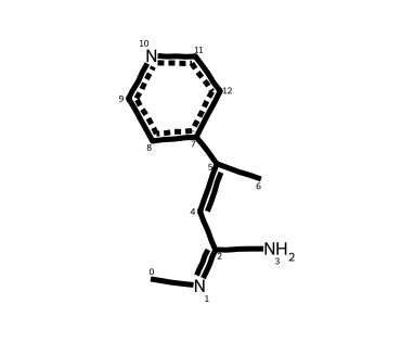 C/N=C(N)\C=C(/C)c1ccncc1